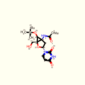 COC(=O)N[C@@]12C[C@H](n3ccc(=O)[nH]c3=O)O[C@]1(CO)C2O[Si](C)(C)C(C)(C)C